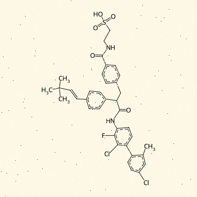 Cc1cc(Cl)ccc1-c1ccc(NC(=O)C(Cc2ccc(C(=O)NCCS(=O)(=O)O)cc2)c2ccc(/C=C/C(C)(C)C)cc2)c(F)c1Cl